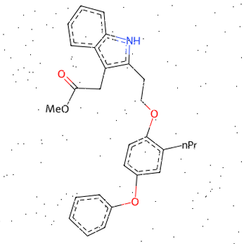 CCCc1cc(Oc2ccccc2)ccc1OCCc1[nH]c2ccccc2c1CC(=O)OC